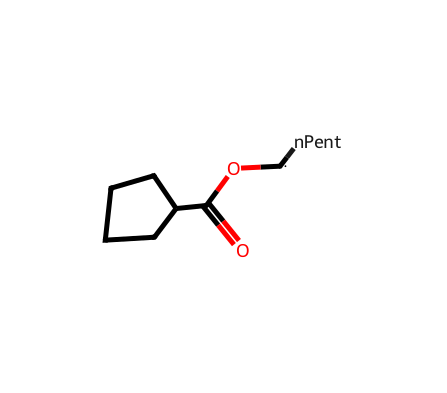 CCCCC[CH]OC(=O)C1CCCC1